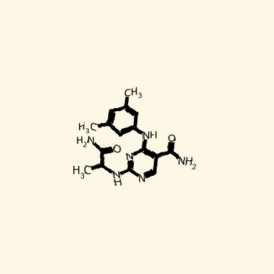 Cc1cc(C)cc(Nc2nc(NC(C)C(N)=O)ncc2C(N)=O)c1